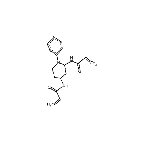 C=CC(=O)NC1CCN(c2ccncn2)C(NC(=O)C=C)C1